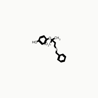 CC(CCSCc1ccccc1)(Oc1ccc(O)cc1)C(=O)O